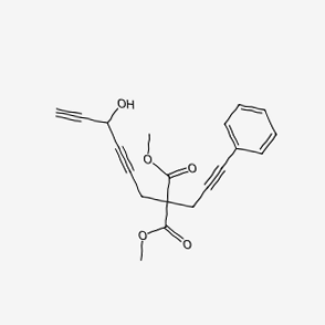 C#CC(O)C#CCC(CC#Cc1ccccc1)(C(=O)OC)C(=O)OC